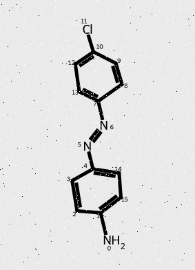 Nc1ccc(N=Nc2ccc(Cl)cc2)cc1